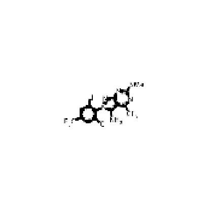 CSc1nc(C(F)(F)F)c2c(N)n(-c3c(Cl)cc(C(F)(F)F)cc3Cl)nc2n1